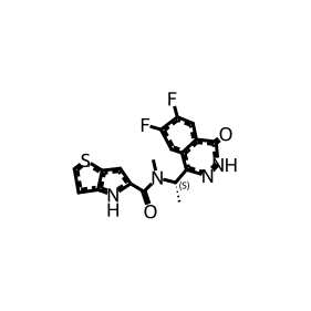 C[C@@H](c1n[nH]c(=O)c2cc(F)c(F)cc12)N(C)C(=O)c1cc2sccc2[nH]1